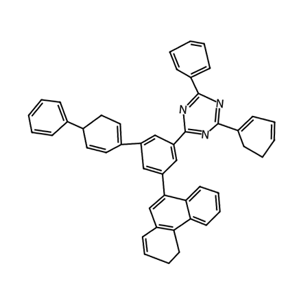 C1=CCCC(c2nc(-c3ccccc3)nc(-c3cc(C4=CCC(c5ccccc5)C=C4)cc(-c4cc5c(c6ccccc46)CCC=C5)c3)n2)=C1